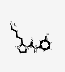 CCCCCC1OCCN1C(=S)Nc1cccc(I)c1